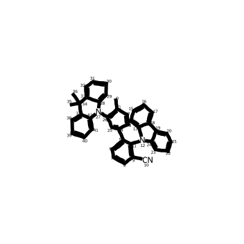 Cc1ccc(-c2cccc(C#N)c2-n2c3ccccc3c3ccccc32)cc1N1c2ccccc2C(C)(C)c2ccccc21